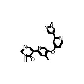 Cc1cc(-c2cnc[nH]c2=O)ncc1Oc1ccnc(-c2cnn(C)c2)c1